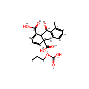 CCCOC(=O)O.Cc1ccccc1C(=O)C1C(C(=O)O)=CC=CC1(C)C(=O)O